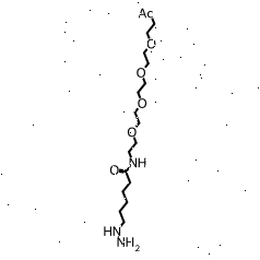 CC(=O)CCOCCOCCOCCOCCNC(=O)CCCCCNN